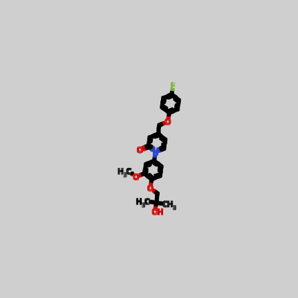 COc1cc(-n2ccc(COc3ccc(F)cc3)cc2=O)ccc1OCC(C)(C)O